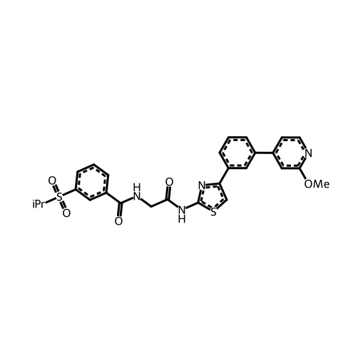 COc1cc(-c2cccc(-c3csc(NC(=O)CNC(=O)c4cccc(S(=O)(=O)C(C)C)c4)n3)c2)ccn1